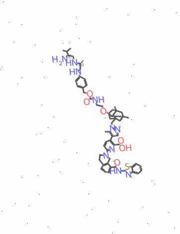 Cc1c(-c2ccc(N3CCc4cccc(C(=O)Nc5nc6ccccc6s5)c4C3)nc2C(=O)O)cnn1CC12CC3(C)CC(C)(C1)CC(OCCNC(=O)OCc1ccc(NC[C@H](C)NC[C@@H](N)C(C)C)cc1)(C3)C2